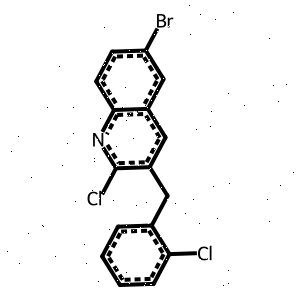 Clc1ccccc1Cc1cc2cc(Br)ccc2nc1Cl